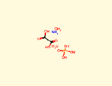 N.O.O.O=C(O)C(=O)O.O=P(O)(O)O